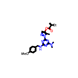 C=C(CC)C(=O)Oc1cnn(-c2nc(NCc3ccc(OC)cc3)nc(N(C)C)n2)c1C